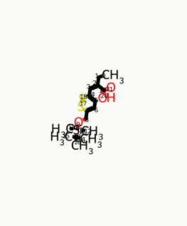 CCC(=CC1=CC=C(CO[Si](C)(C)C(C)(C)C)SS1)C(=O)O